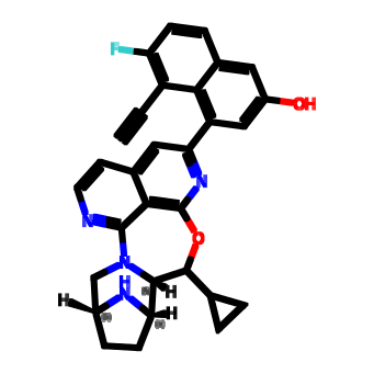 C#Cc1c(F)ccc2cc(O)cc(-c3cc4ccnc5c4c(n3)OC(C3CC3)[C@@H]3[C@@H]4CC[C@H](CN53)N4)c12